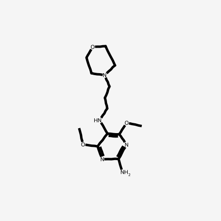 COc1nc(N)nc(OC)c1NCCCN1CCOCC1